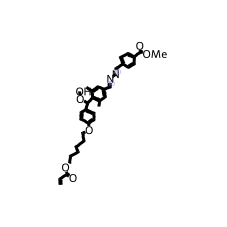 C=CC(=O)OCCCCCCOc1ccc(C(OO)c2c(C)cc(/C=N/N=C/c3ccc(C(=O)OC)cc3)cc2C)cc1